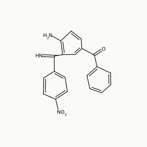 N=C(c1ccc([N+](=O)[O-])cc1)c1cc(C(=O)c2ccccc2)ccc1N